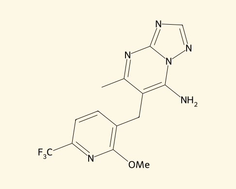 COc1nc(C(F)(F)F)ccc1Cc1c(C)nc2ncnn2c1N